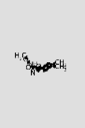 CCOCCNC(=O)/C(C#N)=C/c1ccc(-c2ccc3cc(N(CC)CC)ccc3c2)o1